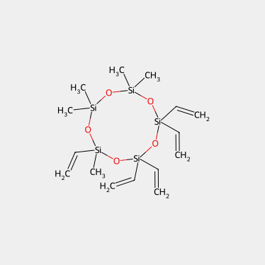 C=C[Si]1(C)O[Si](C)(C)O[Si](C)(C)O[Si](C=C)(C=C)O[Si](C=C)(C=C)O1